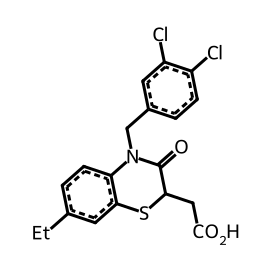 CCc1ccc2c(c1)SC(CC(=O)O)C(=O)N2Cc1ccc(Cl)c(Cl)c1